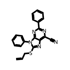 C=CCSc1nc2c(C#N)nc(-c3ccccc3)nc2n1-c1ccccc1